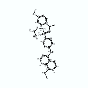 COc1ccc([C@@H](C)N=S(=O)(NC[C@@H](C)O)c2ccc(Nc3ccnc4c(OC)nccc34)cc2)cc1